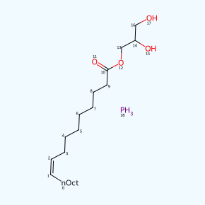 CCCCCCCC/C=C\CCCCCCCC(=O)OCC(O)CO.P